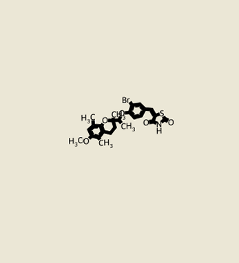 COc1cc(C)c2c(c1C)CCC(C)(C(C)Oc1ccc(C=C3SC(=O)NC3=O)cc1Br)O2